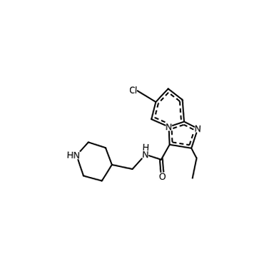 CCc1nc2ccc(Cl)cn2c1C(=O)NCC1CCNCC1